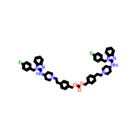 O=C(OCc1ccc(CCN2CCC(Nc3nc4ccccc4n3Cc3ccc(F)cc3)CC2)cc1)OCc1ccc(CCN2CCC(Nc3nc4ccccc4n3Cc3ccc(F)cc3)CC2)cc1